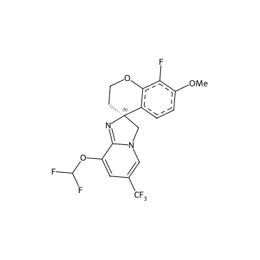 COc1ccc2c(c1F)OCC[C@@]21CN2C=C(C(F)(F)F)C=C(OC(F)F)C2=N1